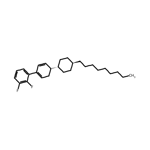 CCCCCCCCC[C@H]1CC[C@H](C2C=CC(c3cccc(F)c3F)=CC2)CC1